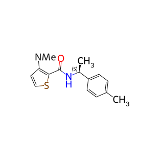 CNc1ccsc1C(=O)N[C@@H](C)c1ccc(C)cc1